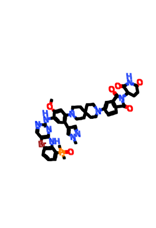 COc1cc(N2CCC3(CCN(c4ccc5c(c4)C(=O)N(C4CCC(=O)NC4=O)C5=O)CC3)CC2)c(-c2cnn(C)c2)cc1Nc1ncc(Br)c(Nc2ccccc2P(C)(C)=O)n1